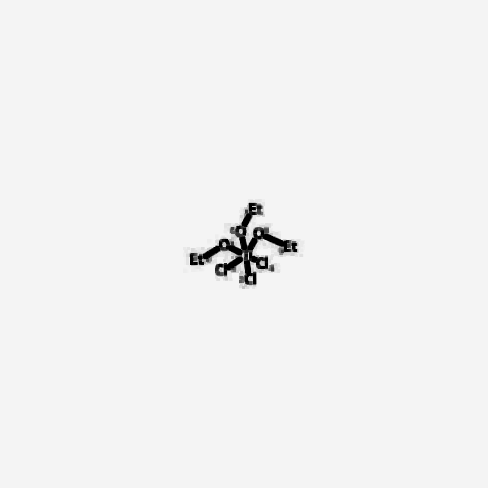 CC[O][Ti]([Cl])([Cl])([Cl])([O]CC)[O]CC